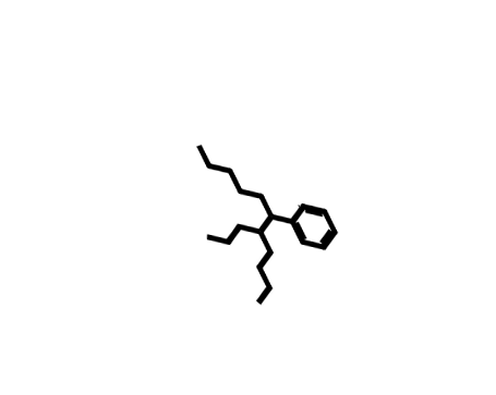 CCCCCC(c1[c]cccc1)C(CCC)CCCC